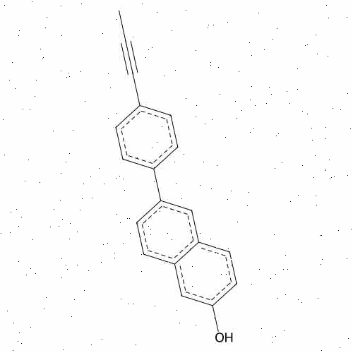 CC#Cc1ccc(-c2ccc3cc(O)ccc3c2)cc1